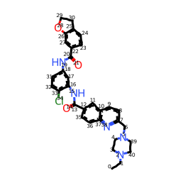 CCN1CCN(Cc2ccc3cc(C(=O)Nc4cc(NC(=O)c5ccc6c(c5)OCC6)ccc4Cl)ccc3n2)CC1